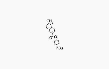 CCCCc1ccc(OC(=O)C2CCC3CC(C)CCC3C2)cc1